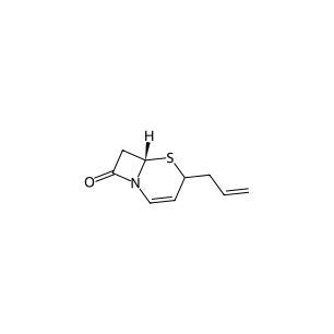 C=CCC1C=CN2C(=O)C[C@@H]2S1